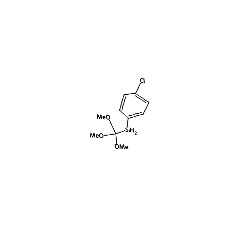 COC(OC)(OC)[SiH2]c1ccc(Cl)cc1